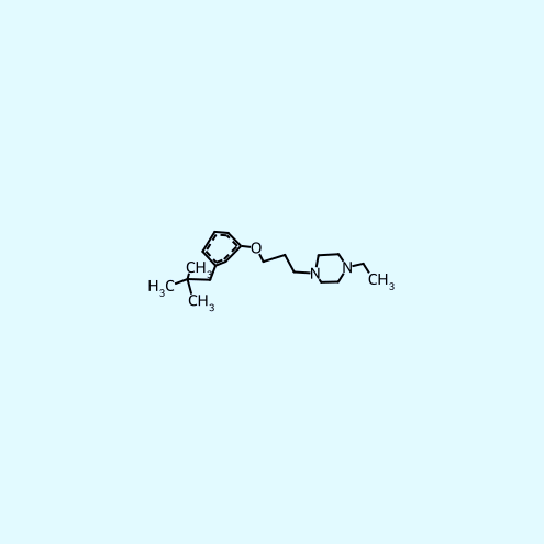 CCN1CCN(CCCOc2cccc(CC(C)(C)C)c2)CC1